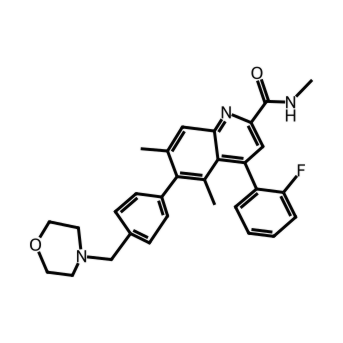 CNC(=O)c1cc(-c2ccccc2F)c2c(C)c(-c3ccc(CN4CCOCC4)cc3)c(C)cc2n1